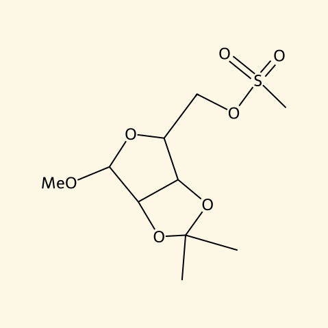 COC1OC(COS(C)(=O)=O)C2OC(C)(C)OC12